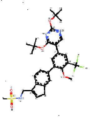 COc1c(-c2ccc3c(c2)CC=C3CNS(C)(=O)=O)cc(-c2cnc(OC(C)(C)C)nc2OC(C)(C)C)cc1C(F)(F)F